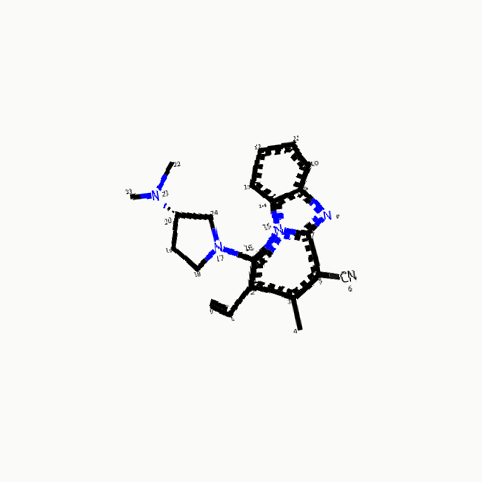 C=Cc1c(C)c(C#N)c2nc3ccccc3n2c1N1CC[C@H](N(C)C)C1